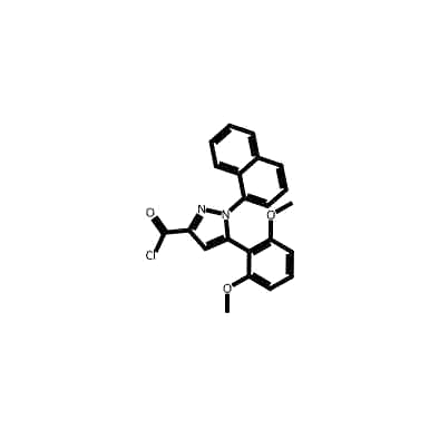 COc1cccc(OC)c1-c1cc(C(=O)Cl)nn1-c1cccc2ccccc12